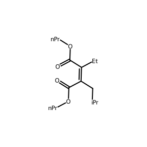 CCCOC(=O)/C(CC)=C(/CC(C)C)C(=O)OCCC